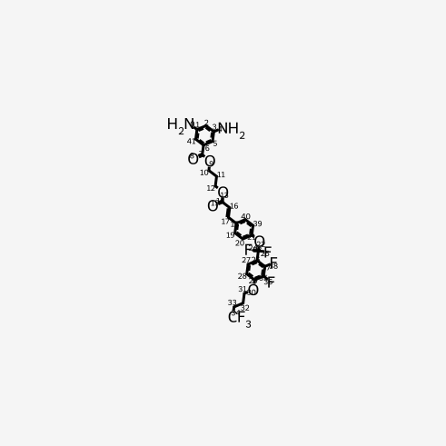 Nc1cc(N)cc(C(=O)OCCCOC(=O)C=Cc2ccc(OC(F)(F)c3ccc(OCCCC(F)(F)F)c(F)c3F)cc2)c1